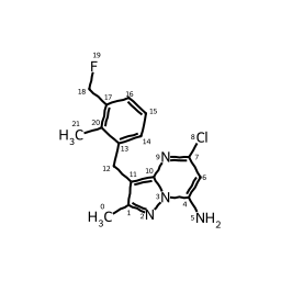 Cc1nn2c(N)cc(Cl)nc2c1Cc1cccc(CF)c1C